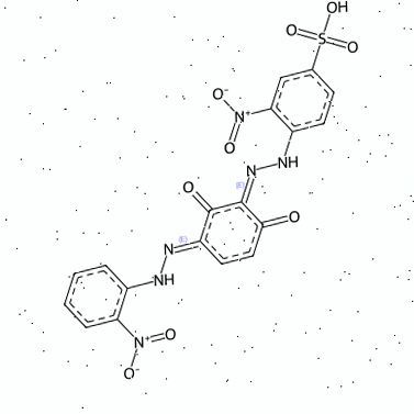 O=c1cc/c(=N\Nc2ccccc2[N+](=O)[O-])c(=O)/c1=N/Nc1ccc(S(=O)(=O)O)cc1[N+](=O)[O-]